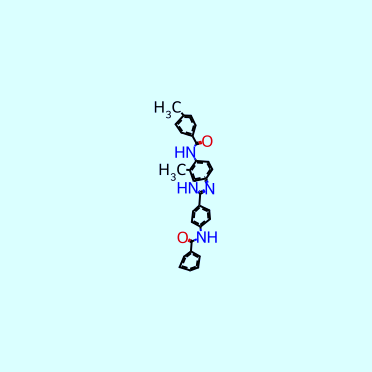 Cc1ccc(C(=O)Nc2ccc3nc(-c4ccc(NC(=O)c5ccccc5)cc4)[nH]c3c2C)cc1